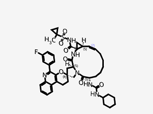 CC1(S(=O)(=O)NC(=O)[C@@]23C[C@H]2/C=C\CCCCC[C@H](NC(=O)NC2CCCCC2)C(=O)N2C[C@@]4(CCc5c(c(-c6cccc(F)c6)nc6ccccc56)O4)C[C@H]2C(=O)N3)CC1